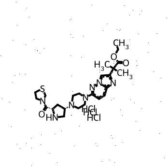 CCOC(=O)C(C)(C)c1cn2nc(N3CCN([C@@H]4CN[C@H](C(=O)N5CCSC5)C4)CC3)ccc2n1.Cl.Cl.Cl